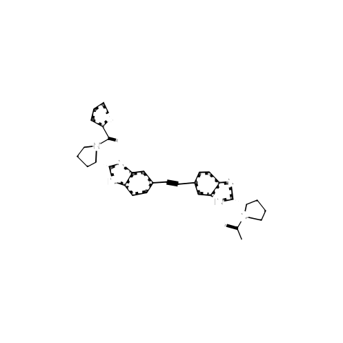 CC(=O)N1CCC[C@H]1c1nc2ccc(C#Cc3ccc4[nH]c([C@@H]5CCCN5C(=O)c5cccs5)nc4c3)cc2[nH]1